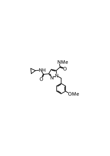 CNC(=O)c1cc(C(=O)NC2CC2)nn1Cc1cccc(OC)c1